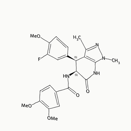 COc1ccc([C@H]2c3c(C)nn(C)c3NC(=O)[C@H]2NC(=O)c2ccc(OC)c(OC)c2)cc1F